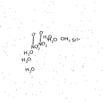 O.O.O.O.O.O.O=[N+]([O-])[O-].O=[N+]([O-])[O-].[Sr+2]